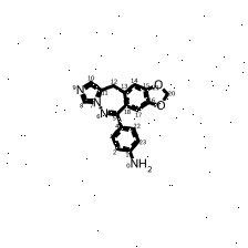 Nc1ccc(C2=Nn3cncc3Cc3cc4c(cc32)OCO4)cc1